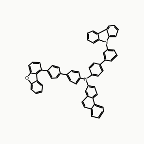 c1cc(-c2ccc(N(c3ccc(-c4ccc(-c5cccc6oc7ccccc7c56)cc4)cc3)c3ccc4c(ccc5ccccc54)c3)cc2)cc(-n2c3ccccc3c3ccccc32)c1